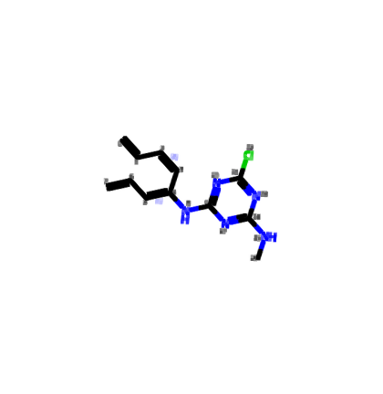 C=C/C=C\C(=C/C=C)Nc1nc(Cl)nc(NC)n1